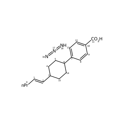 CCCC=CC1CCC(c2ccc(C(=O)O)cc2)CC1.[N-]=[N+]=N